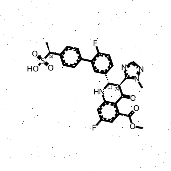 COC(=O)c1cc(F)cc2c1C(=O)[C@H](c1ncnn1C)[C@@H](c1ccc(F)c(-c3ccc([C@H](C)S(=O)(=O)O)cc3)c1)N2